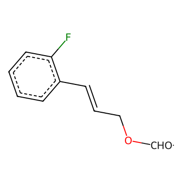 O=[C]OC/C=C/c1ccccc1F